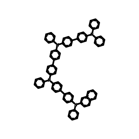 c1ccc(N(c2ccccc2)c2ccc(-c3ccc(N(c4ccccc4)c4ccc(-c5ccc(N(c6ccccc6)c6ccc(-c7ccc(N(c8ccccc8)c8ccc9ccccc9c8)cc7)cc6)cc5)cc4)cc3)cc2)cc1